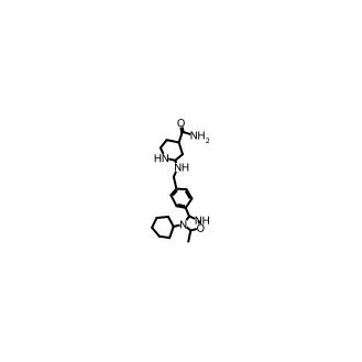 CC1ONC(c2ccc(CNC3CC(C(N)=O)CCN3)cc2)N1C1CCCCC1